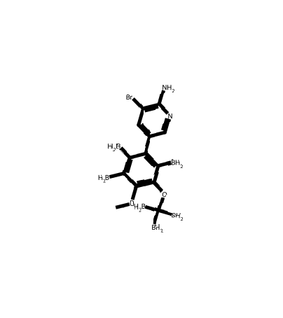 Bc1c(B)c(-c2cnc(N)c(Br)c2)c(B)c(OC(B)(B)B)c1OC